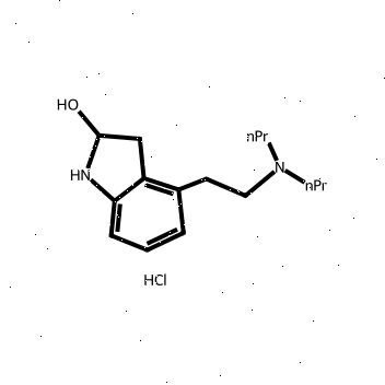 CCCN(CCC)CCc1cccc2c1CC(O)N2.Cl